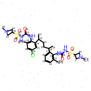 CCN1CC(S(=O)(=O)NC(=O)Nc2c(C(C)C)cccc2C(C)CCC(C)c2cc(Cl)cc(C(C)C)c2NC(=O)NS(=O)(=O)C2CN(C)C2)C1